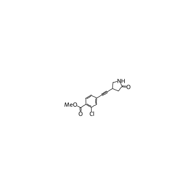 COC(=O)c1ccc(C#CC2CNC(=O)C2)cc1Cl